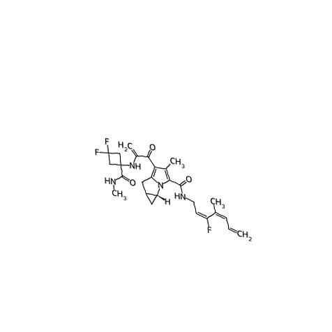 C=C/C=C(C)\C(F)=C/CNC(=O)c1c(C)c(C(=O)C(=C)NC2(C(=O)NC)CC(F)(F)C2)c2n1[C@@H]1CC1C2